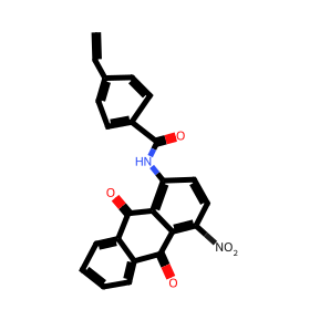 C=Cc1ccc(C(=O)Nc2ccc([N+](=O)[O-])c3c2C(=O)c2ccccc2C3=O)cc1